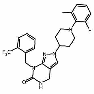 Cc1cccc(F)c1N1CCC(n2cc3c(n2)N(Cc2ccccc2C(F)(F)F)C(=O)NC3)CC1